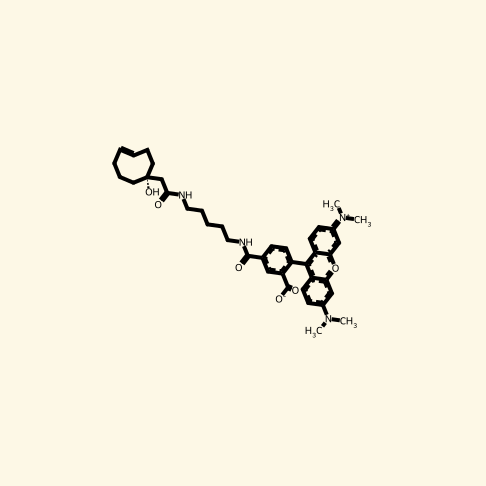 CN(C)c1ccc2c(-c3ccc(C(=O)NCCCCCNC(=O)C[C@]4(O)CC/C=C/CCC4)cc3C(=O)[O-])c3ccc(=[N+](C)C)cc-3oc2c1